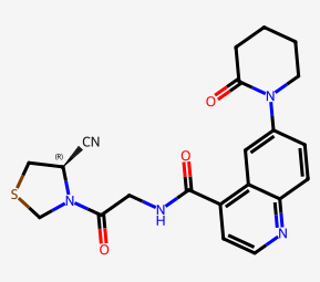 N#C[C@@H]1CSCN1C(=O)CNC(=O)c1ccnc2ccc(N3CCCCC3=O)cc12